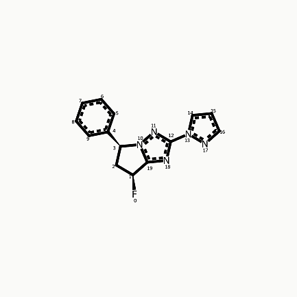 F[C@H]1C[C@@H](c2ccccc2)n2nc(-n3cccn3)nc21